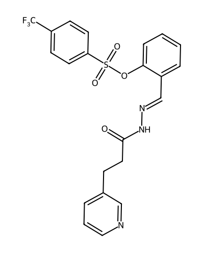 O=C(CCc1cccnc1)N/N=C/c1ccccc1OS(=O)(=O)c1ccc(C(F)(F)F)cc1